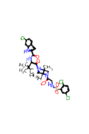 CC(C)(C)C(NC(=O)c1cc2ccc(Cl)cc2[nH]1)C(=O)N1C[C@H]2N(C(=O)CNS(=O)(=O)c3cc(Cl)ccc3Cl)CC21C